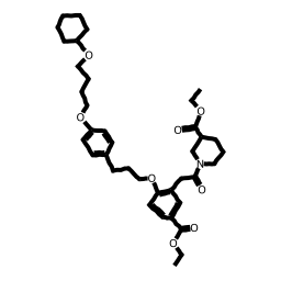 CCOC(=O)c1ccc(OCCCc2ccc(OCCCCOC3CCCCC3)cc2)c(CC(=O)N2CCCC(C(=O)OCC)C2)c1